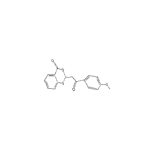 COc1ccc(C(=O)CC2OC(=O)c3ccccc3S2)cc1